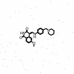 COc1ccc2c(c1)/C(=C\Nc1ccc(CN3CCCCC3)cc1)C(=O)NC2=O